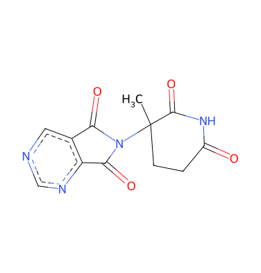 CC1(N2C(=O)c3cncnc3C2=O)CCC(=O)NC1=O